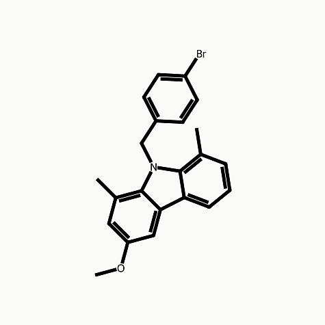 COc1cc(C)c2c(c1)c1cccc(C)c1n2Cc1ccc(Br)cc1